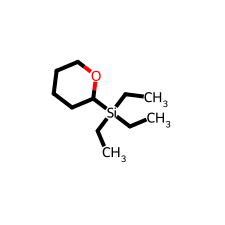 CC[Si](CC)(CC)C1CCCCO1